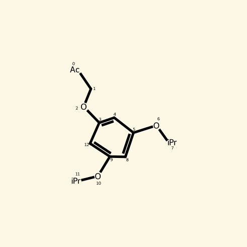 CC(=O)COc1cc(OC(C)C)cc(OC(C)C)c1